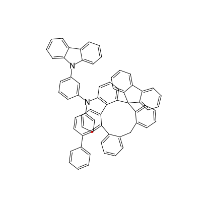 c1ccc(-c2ccc(N(c3cccc(-n4c5ccccc5c5ccccc54)c3)c3cccc4c3-c3ccccc3-c3ccccc3Cc3ccccc3C43c4ccccc4-c4ccccc43)cc2)cc1